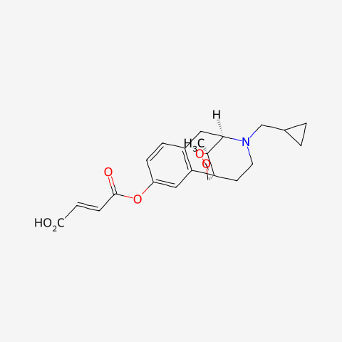 C[C@@]12OCOC[C@@]13CCN(CC1CC1)[C@@H]2Cc1ccc(OC(=O)/C=C/C(=O)O)cc13